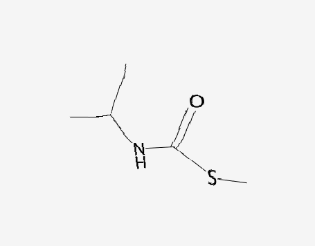 CSC(=O)NC(C)C